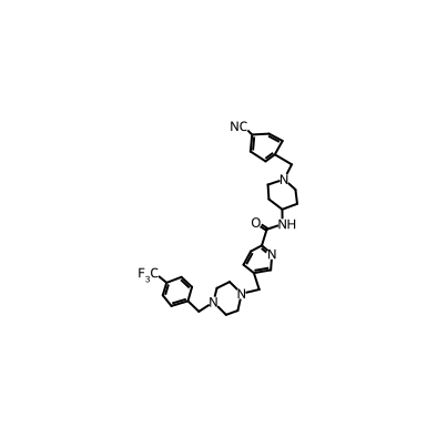 N#Cc1ccc(CN2CCC(NC(=O)c3ccc(CN4CCN(Cc5ccc(C(F)(F)F)cc5)CC4)cn3)CC2)cc1